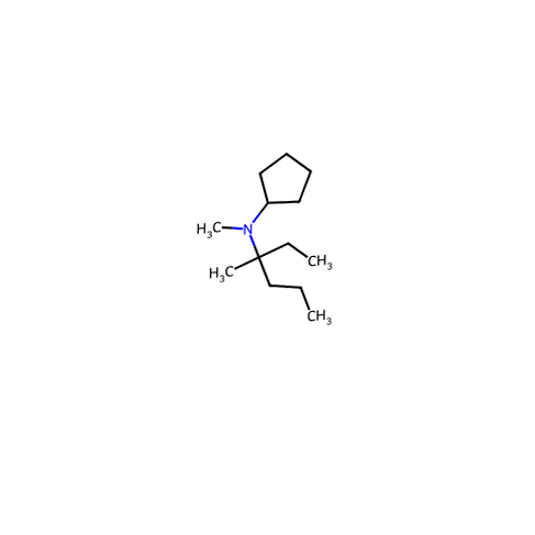 CCCC(C)(CC)N(C)C1CCCC1